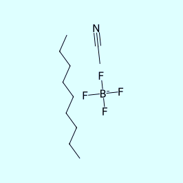 CC#N.CCCCCCCCC.F[B-](F)(F)F